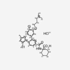 CCc1cc(C)nn1-c1ccc(C(=O)NC2(C(=O)O)CCCCC2)nc1-c1ccc(Cl)c(OCCCN(C)C)c1.Cl